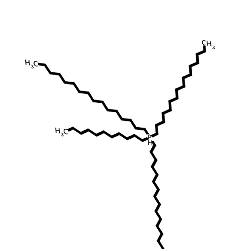 CCCCCCCCCCCCCCCC[PH](CCCCCCCCCCC)(CCCCCCCCCCCCCCCC)CCCCCCCCCCCCCCCC